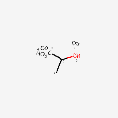 CC(O)C(=O)O.[Co].[Co]